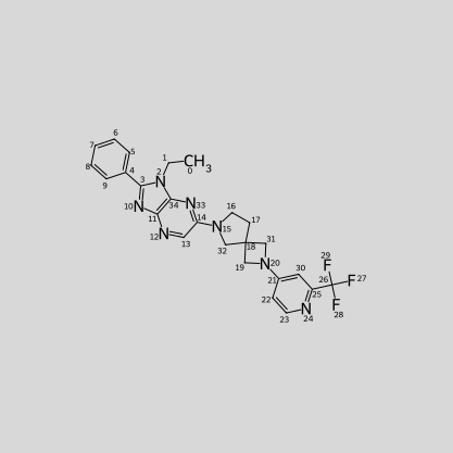 CCn1c(-c2ccccc2)nc2ncc(N3CCC4(CN(c5ccnc(C(F)(F)F)c5)C4)C3)nc21